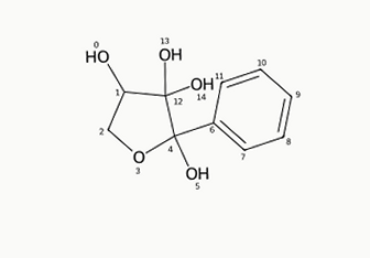 OC1COC(O)(c2ccccc2)C1(O)O